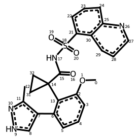 COc1cccc(-c2c[nH]nc2C)c1C1(C(=O)NS(=O)(=O)c2cccc3ncccc23)CC1